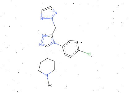 CC(=O)N1CCC(c2nnc(Cn3nccn3)n2-c2ccc(Cl)cc2)CC1